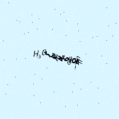 CCCCCc1cnc(-c2ccc(OC(=O)[C@H]3CC[C@H](C(F)(F)F)CC3)cc2)nc1